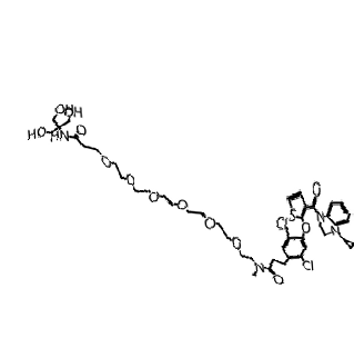 CN(CCOCCOCCOCCOCCOCCOCCC(=O)NC(CO)(CO)CO)C(=O)CCc1cc(Cl)c(Oc2sccc2C(=O)N2CCN(C3CC3)c3ccccc32)cc1Cl